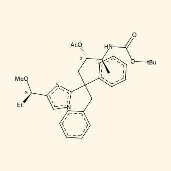 CC[C@@H](OC)c1cnc(C(Cc2ccccc2)(C[C@H](OC(C)=O)[C@H](C)NC(=O)OC(C)(C)C)c2ccccc2)s1